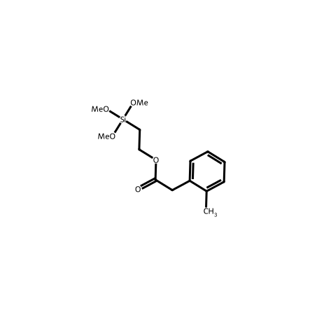 CO[Si](CCOC(=O)Cc1ccccc1C)(OC)OC